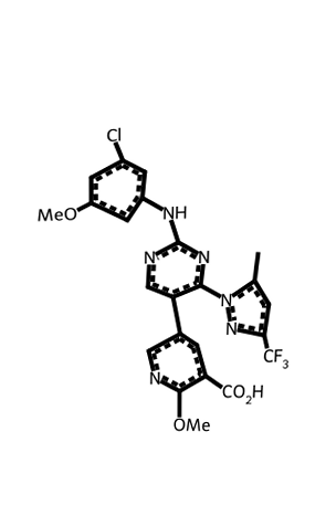 COc1cc(Cl)cc(Nc2ncc(-c3cnc(OC)c(C(=O)O)c3)c(-n3nc(C(F)(F)F)cc3C)n2)c1